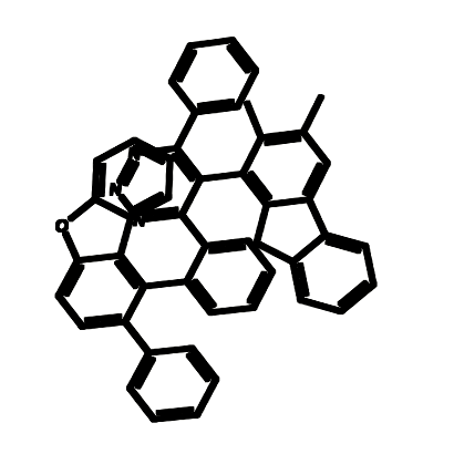 Cc1cc2c(c(-c3c(-c4ccccc4)nnnc3-c3ccccc3-c3c(-c4ccccc4)ccc4oc5ccccc5c34)c1C)Cc1ccccc1-2